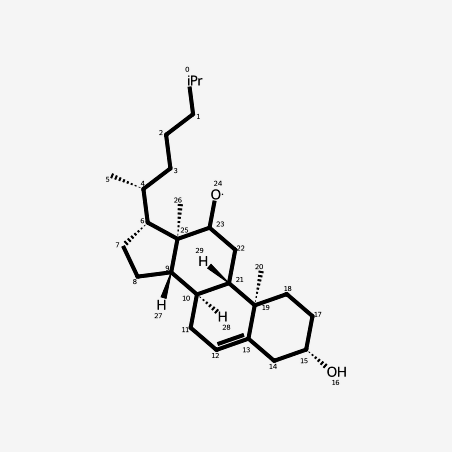 CC(C)CCC[C@@H](C)[C@H]1CC[C@H]2[C@@H]3CC=C4C[C@@H](O)CC[C@]4(C)[C@H]3CC([O])[C@]12C